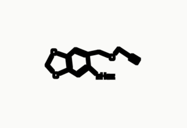 C#CCOCc1cc2c(cc1CCCCCC)OCO2